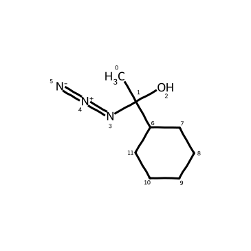 CC(O)(N=[N+]=[N-])C1CCCCC1